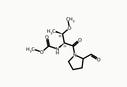 COC(=O)N[C@H](C(=O)N1CCCC1C=O)[C@@H](C)OC